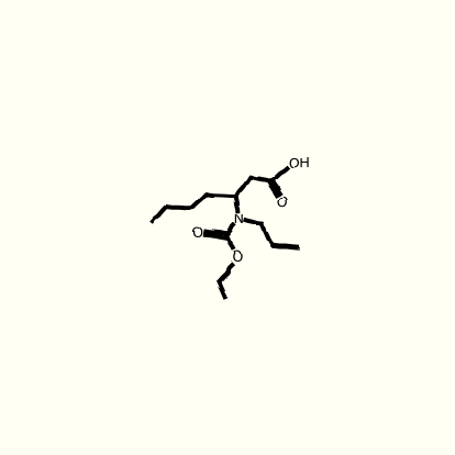 CCCCC(CC(=O)O)N(CCC)C(=O)OCC